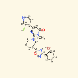 Cn1c(N2CCCC(c3nc(-c4ccccc4Br)no3)C2)nc(-c2ccncc2F)cc1=O